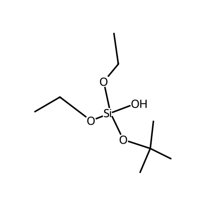 CCO[Si](O)(OCC)OC(C)(C)C